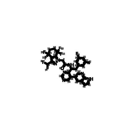 O=C(Cn1nc(C(F)F)c2c1C(F)(F)CCC2(F)F)NC(Cc1cc(F)cc(F)c1)c1ncncc1-c1cnc2[nH]ccc2c1